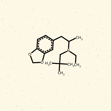 CCN(CC(C)(C)C)C(C)Cc1ccc2c(c1)OCO2